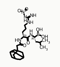 CC(C)C[C@H](NC(=O)[C@H](CCCNC(=N)N[N+](=O)[O-])NC(=O)CC12CC3CC(CC(C3)C1)C2)B(O)O